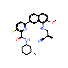 C=C(C#N)CNc1c(OC)ccc2ccc(-c3ccc(F)c(C(=O)N[C@@H]4CCC[C@@H](C)C4)n3)cc12